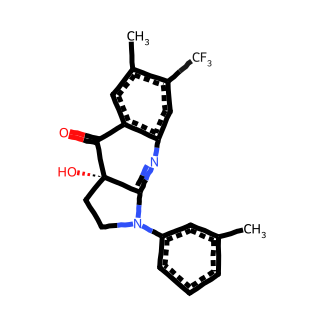 Cc1cccc(N2CC[C@@]3(O)C(=O)c4cc(C)c(C(F)(F)F)cc4N=C23)c1